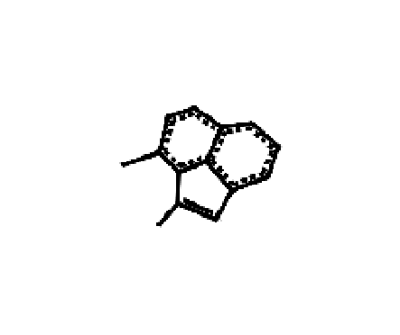 CC1=[C]c2cccc3ccc(C)c1c23